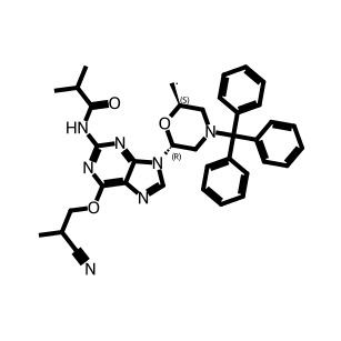 [CH2][C@H]1CN(C(c2ccccc2)(c2ccccc2)c2ccccc2)C[C@H](n2cnc3c(OCC(C)C#N)nc(NC(=O)C(C)C)nc32)O1